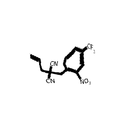 C=CCC(C#N)(C#N)Cc1ccc(C(F)(F)F)cc1[N+](=O)[O-]